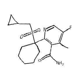 Cc1c(F)cnc(C2(S(=O)(=O)CC3CC3)CCCCC2)c1C(N)=O